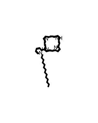 CCCCCCCCCCCCCCN1C=CC=CC1c1cc2cc3nc(cc4ccc(cc5nc(cc1[nH]2)C=C5)[nH]4)C=C3